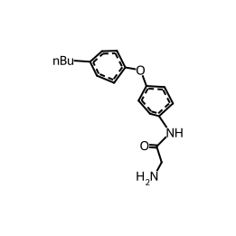 CCCCc1ccc(Oc2ccc(NC(=O)CN)cc2)cc1